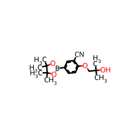 CC(C)(O)COc1ccc(B2OC(C)(C)C(C)(C)O2)cc1C#N